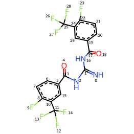 N=C(NC(=O)c1ccc(F)c(C(F)(F)F)c1)NC(=O)c1ccc(F)c(C(F)(F)F)c1